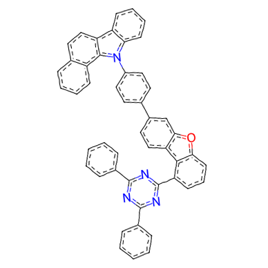 c1ccc(-c2nc(-c3ccccc3)nc(-c3cccc4oc5cc(-c6ccc(-n7c8ccccc8c8ccc9ccccc9c87)cc6)ccc5c34)n2)cc1